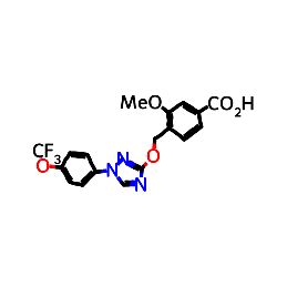 COc1cc(C(=O)O)ccc1COc1ncn(-c2ccc(OC(F)(F)F)cc2)n1